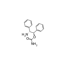 NC(=O)O[C@H](c1ccccc1)[C@H](N)c1ccccc1